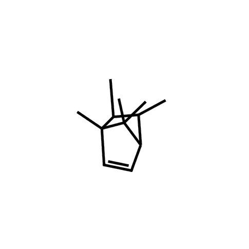 CC1C2C=CC(C)(C1C)C2(C)C